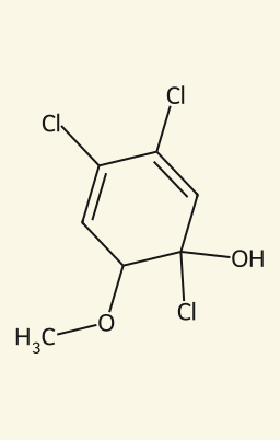 COC1C=C(Cl)C(Cl)=CC1(O)Cl